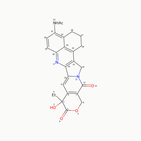 CCC1(O)C(=O)OCc2c1cc1n(c2=O)Cc2c-1nc1ccc(NC(C)=O)c3c1c2CCC3